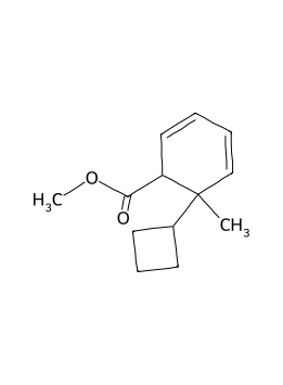 COC(=O)C1C=CC=CC1(C)C1CCC1